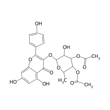 CC(=O)OC1C(C)OC(Oc2c(-c3ccc(O)cc3)oc3cc(O)cc(O)c3c2=O)C(O)C1OC(C)=O